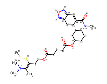 C/C(=C(\CCOC(=O)CCCC(=O)O[C@H]1CC[C@H](N(C)C(=O)c2ccc3nonc3c2)CC1)SSC(C)C)N(C)C=O